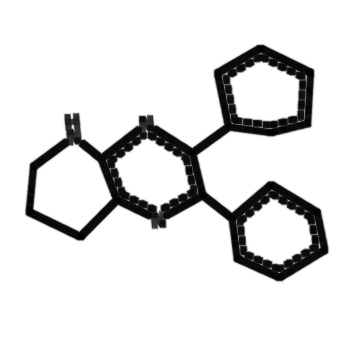 c1ccc(-c2nc3c(nc2-c2ccccc2)NCCC3)cc1